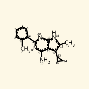 Cc1ccccc1-c1nc(N)c2c(C3CC3)c(C)[nH]c2n1